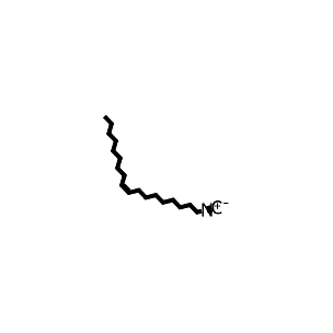 [C-]#[N+]CCCCCCCC/C=C\CCCCCCCC